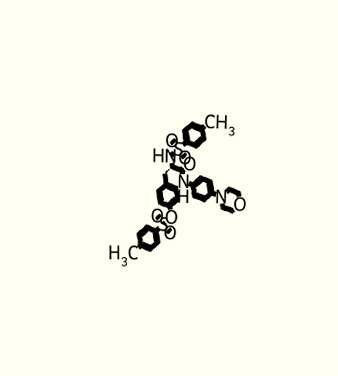 Cc1ccc(S(=O)(=O)N[C@@H](Cc2ccc(OS(=O)(=O)c3ccc(C)cc3)cc2)C(=O)Nc2ccc(N3CCOCC3)cc2)cc1